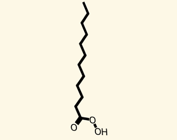 CCCCCCCCCCCC(=O)OO